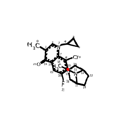 Cc1cn(C2CC2)c2c(Cl)c(N3C4CCC3CN(C)C4)c(F)cc2c1=O